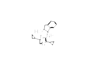 OC1Cc2ccccc2C1Nc1nc(C2CC2)cnc1C1CC1